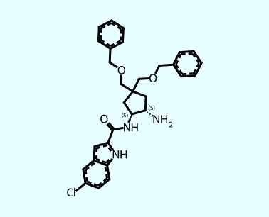 N[C@H]1CC(COCc2ccccc2)(COCc2ccccc2)C[C@@H]1NC(=O)c1cc2cc(Cl)ccc2[nH]1